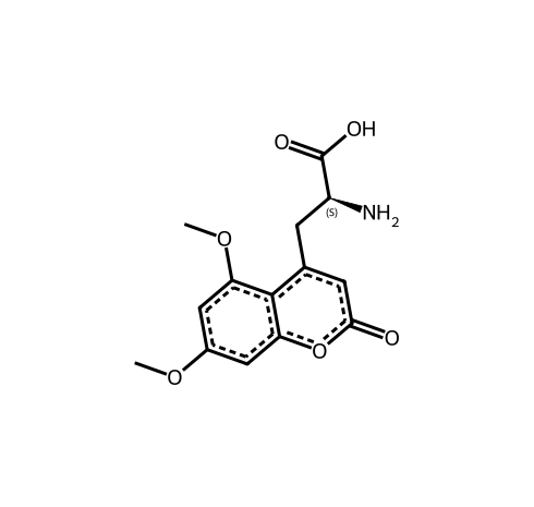 COc1cc(OC)c2c(C[C@H](N)C(=O)O)cc(=O)oc2c1